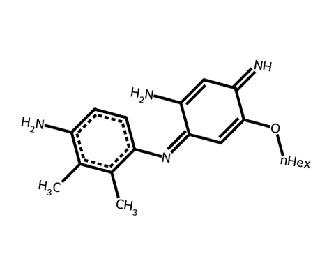 CCCCCCOC1=CC(=Nc2ccc(N)c(C)c2C)C(N)=CC1=N